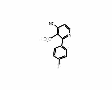 N#Cc1ccnc(-c2ccc(F)cc2)c1C(=O)O